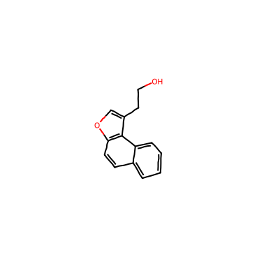 OCCc1coc2ccc3ccccc3c12